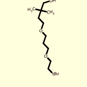 CC(C)(C)CCOCCCOCCC(C)(C)CO